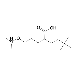 C[SiH](C)OCCCC(CCC(C)(C)C)C(=O)O